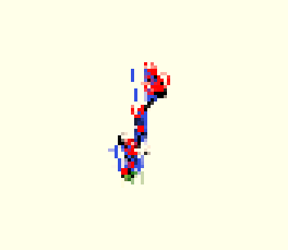 C=CC(=O)Nc1cc2c(Nc3ccc(F)c(Cl)c3)ncnc2cc1OCCCN1CCC(N2CCN(C(=O)CCCCCNc3cccc4c3C(=O)N(C3CCC(=O)NC3=O)C4=O)CC2)CC1